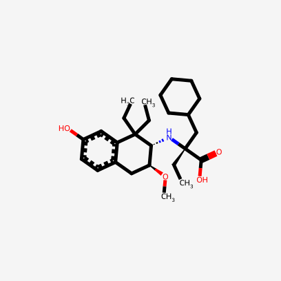 CCC1(CC)c2cc(O)ccc2C[C@H](OC)[C@H]1N[C@](CC)(CC1CCCCC1)C(=O)O